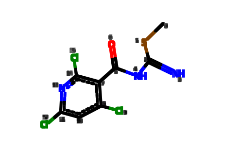 CSC(=N)NC(=O)c1c(Cl)cc(Cl)nc1Cl